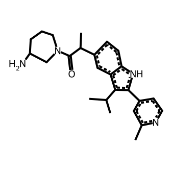 Cc1cc(-c2[nH]c3ccc(C(C)C(=O)N4CCCC(N)C4)cc3c2C(C)C)ccn1